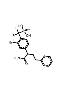 NC(=O)C(CCc1ccccc1)c1ccc(C(F)(F)P(=O)(O)O)c(Br)c1